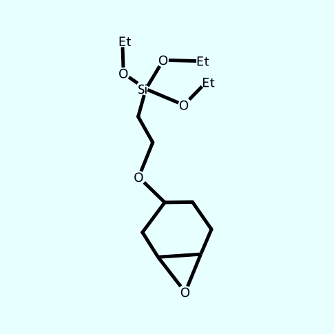 CCO[Si](CCOC1CCC2OC2C1)(OCC)OCC